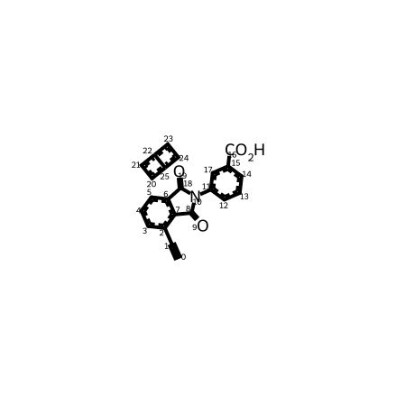 C#Cc1cccc2c1C(=O)N(c1cccc(C(=O)O)c1)C2=O.c1cc2ccc1-2